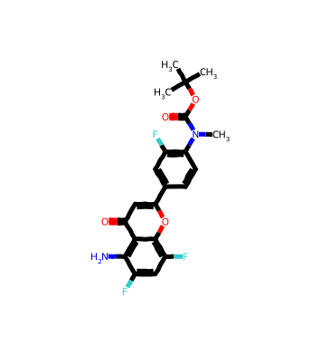 CN(C(=O)OC(C)(C)C)c1ccc(-c2cc(=O)c3c(N)c(F)cc(F)c3o2)cc1F